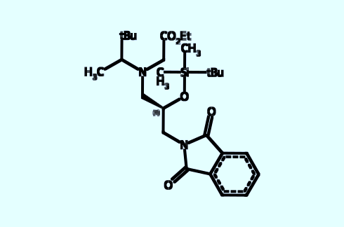 CCOC(=O)CN(C[C@H](CN1C(=O)c2ccccc2C1=O)O[Si](C)(C)C(C)(C)C)C(C)C(C)(C)C